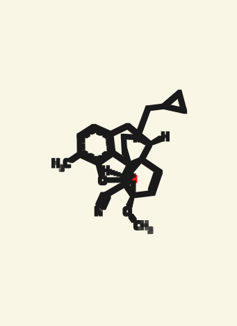 CO[C@]12C=C[C@@]3(C[C@@H]1C#N)[C@H]1Cc4ccc(C)c5c4[C@@]3(CCN1CC1CC1)[C@H]2O5